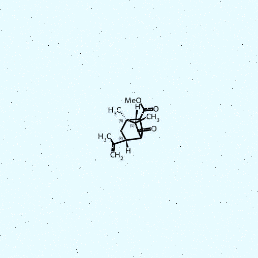 C=C(C)[C@@H]1C[C@@]2(C)C(C(=O)OC)CC1C(=O)[C@H]2C